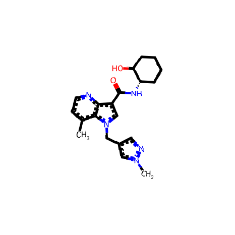 Cc1ccnc2c(C(=O)N[C@H]3CCCCC3O)cn(Cc3cnn(C)c3)c12